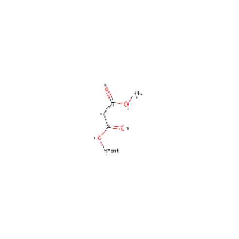 CCCCCOC(=O)CC(=O)OC(C)(C)C